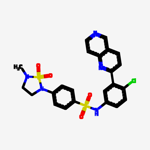 CN1CCN(c2ccc(S(=O)(=O)Nc3ccc(Cl)c(-c4ccc5cnccc5n4)c3)cc2)S1(=O)=O